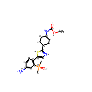 CC(C)OC(=O)NC1CCC(c2ncc(-c3ccc(N)cc3P(C)(C)=O)s2)CC1